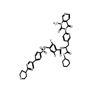 Cn1c(=O)n(-c2ccc(CC(NC(=O)c3cc(F)c(NS(=O)(=O)c4ccc(-c5cnc(C6CCOCC6)nc5)cc4)cc3F)C(=O)OC3CCCCC3)cn2)c(=O)c2ccncc21